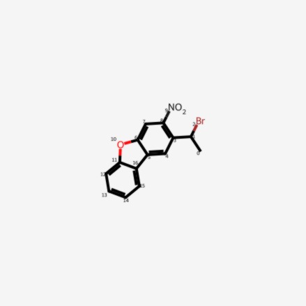 CC(Br)c1cc2c(cc1[N+](=O)[O-])oc1ccccc12